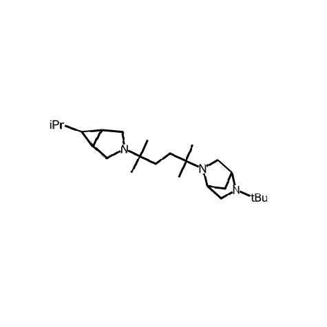 CC(C)C1C2CN(C(C)(C)CCC(C)(C)N3CC4CC3CN4C(C)(C)C)CC21